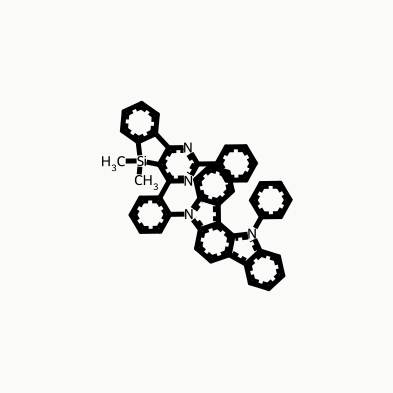 C[Si]1(C)c2ccccc2-c2nc(-c3ccccc3)nc(-c3ccccc3-n3c4ccccc4c4c3ccc3c5ccccc5n(-c5ccccc5)c34)c21